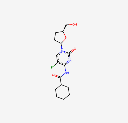 O=C(Nc1nc(=O)n([C@H]2CC[C@@H](CO)O2)cc1F)C1CCCCC1